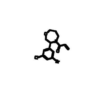 C=CC(=O)N1CCCOCC1c1cc(Cl)cc(Br)c1